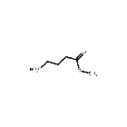 O=C(O)CCCC(=O)O[SiH3]